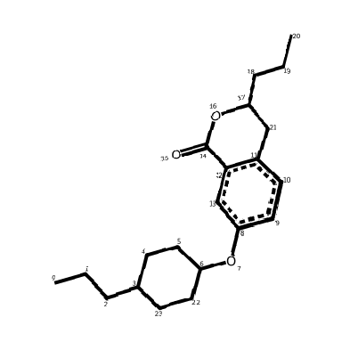 CCCC1CCC(Oc2ccc3c(c2)C(=O)OC(CCC)C3)CC1